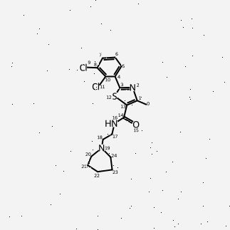 Cc1nc(-c2cccc(Cl)c2Cl)sc1C(=O)NCCN1CCCCC1